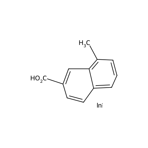 Cc1cccc2ccc(C(=O)O)cc12.[In]